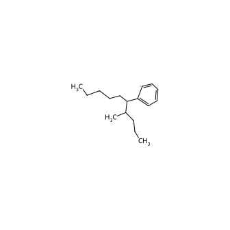 CCCCCC(c1[c]cccc1)C(C)CCC